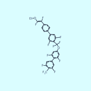 CCO/C(F)=C(\F)c1ccc(-c2cc(F)c(C(F)(F)Oc3cc(F)c(-c4cc(F)c(C(F)(F)F)c(F)c4)c(F)c3)c(F)c2)cc1